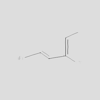 CC=C(C=CC(C)C)C(C)C